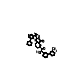 O=C(C(O)c1cccc(-c2cccc(C(F)(F)F)c2)c1)N1CCCc2nc(C3(c4cncc(-c5ccccc5)c4)CC3)[nH]c(=O)c2C1